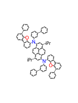 CC(C)c1cc(N(c2cccc(-c3ccccc3)c2)c2cccc3c2oc2c(-c4ccccc4)cccc23)c2ccc3c(C(C)C)cc(N(c4cccc(-c5ccccc5)c4)c4cccc5c4oc4c(-c6ccccc6)cccc45)c4ccc1c2c34